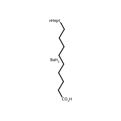 CCCCCCCCCCCCCCCC(=O)O.[BaH2]